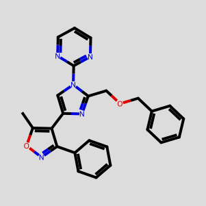 Cc1onc(-c2ccccc2)c1-c1cn(-c2ncccn2)c(COCc2ccccc2)n1